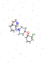 Fc1ccccc1OC1CCN(c2cccc3s[c]nc23)CC1